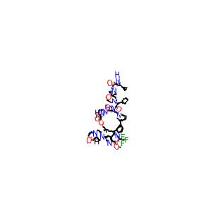 CO[C@@H](C)c1ncc(N2CCN3CCOC[C@@H]3C2)cc1-c1c2c3cc(ccc3n1CC(F)(F)F)C1=CCCN(C1)C[C@H](NC(=O)C(C1CCCC1)N1CCOC3(CN(C(=O)[C@@H]4NC4C4CC4)C3)C1)C(=O)N1CCC[C@H](N1)C(=O)OCC(C)(C)C2